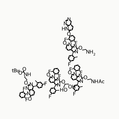 CC(=O)NCCOc1nc(-c2ccc(F)cc2C)c2ccc(=O)n(-c3c(F)cccc3F)c2n1.Cc1cc(F)ccc1-c1nc(OC(CO)CO)nc2c1ccc(=O)n2-c1c(F)cccc1F.Cc1cc(F)ccc1-c1nc(OCCN)nc2c1ccc(=O)n2-c1c(F)cccc1F.Cc1cc(F)ccc1-c1nc(OCCNC(=O)OC(C)(C)C)nc2c1ccc(=O)n2-c1c(F)cccc1F.O=c1ccc2cncnc2[nH]1